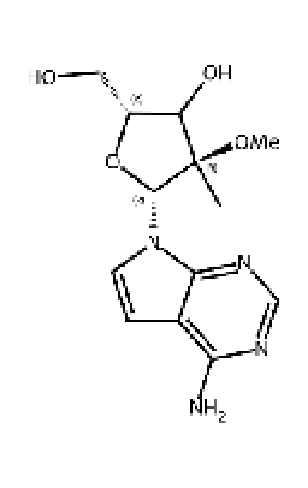 CO[C@]1(C)C(O)[C@@H](CO)O[C@H]1n1ccc2c(N)ncnc21